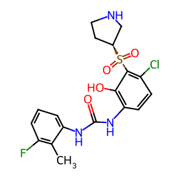 Cc1c(F)cccc1NC(=O)Nc1ccc(Cl)c(S(=O)(=O)[C@H]2CCNC2)c1O